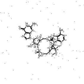 Nc1nc2c(ncn2[C@@H]2O[C@@H]3CO[P@@](=O)(S)O[C@H]4[C@H]5OC[C@]4(CO[P@](=O)(S)O[C@H]3[C@H]2O)O[C@H]5n2cnc3c(N)ncnc32)c(=O)[nH]1